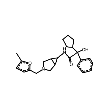 Cc1ccc(CN2CC3C(C2)C3NC(=O)C(O)(c2ccccc2)C2CCCC2)o1